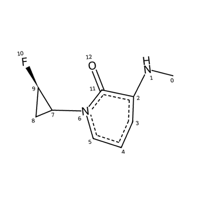 CNc1cccn(C2C[C@H]2F)c1=O